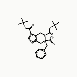 CC(C)(C)OC(=O)N1Cc2c(ncn2C(=O)OC(C)(C)C)C[C@@]1(Cc1ccccc1)C(=O)O